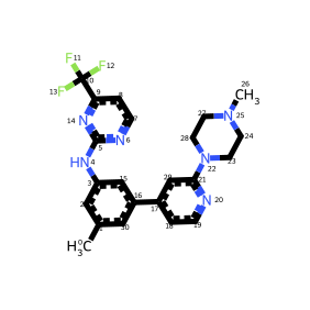 Cc1cc(Nc2nccc(C(F)(F)F)n2)cc(-c2ccnc(N3CCN(C)CC3)c2)c1